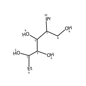 CCC(O)C(O)C(O)C(CO)C(C)C